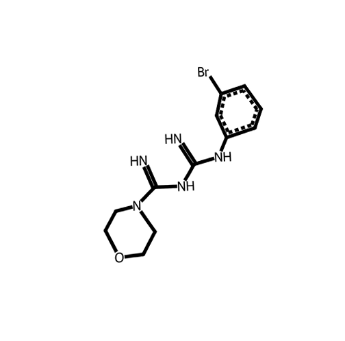 N=C(NC(=N)N1CCOCC1)Nc1cccc(Br)c1